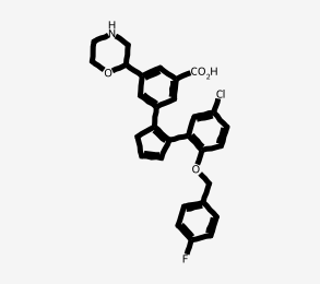 O=C(O)c1cc(C2=C(c3cc(Cl)ccc3OCc3ccc(F)cc3)C=CC2)cc(C2CNCCO2)c1